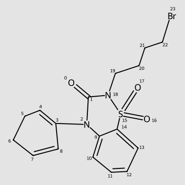 O=C1N(C2=CCCC=C2)c2ccccc2S(=O)(=O)N1CCCCBr